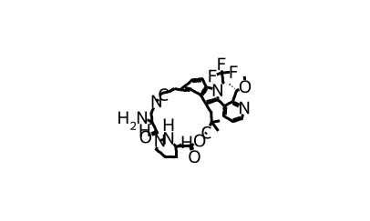 CO[C@@H](C)c1ncccc1-c1c2c3cc(ccc3n1CC(F)(F)F)C1CN(C1)C[C@H](N)C(=O)N1CCC[C@H](N1)C(=O)OCC(C)(C)C2